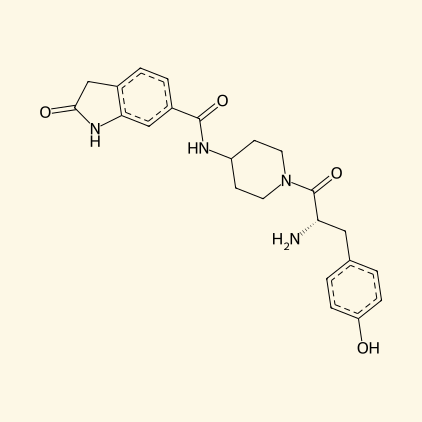 N[C@@H](Cc1ccc(O)cc1)C(=O)N1CCC(NC(=O)c2ccc3c(c2)NC(=O)C3)CC1